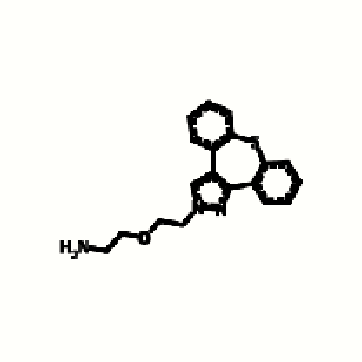 NCCOCCn1cc2c(n1)-c1ccccc1Sc1ccccc1-2